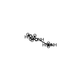 O=C1CCC(N2C(=O)c3ccc(NCCCCCCNS(=O)(=O)C4CNC4)cc3C2=O)C(=O)N1